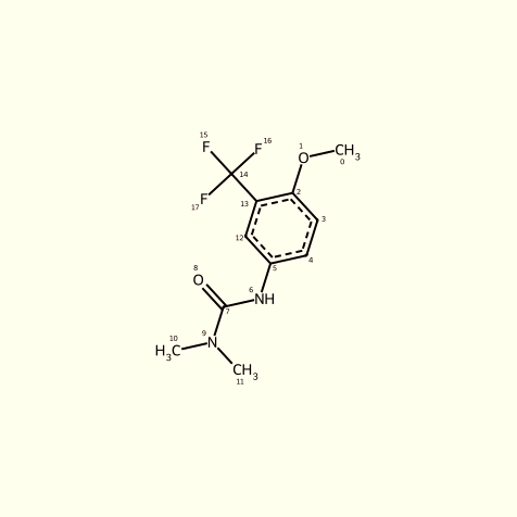 COc1ccc(NC(=O)N(C)C)cc1C(F)(F)F